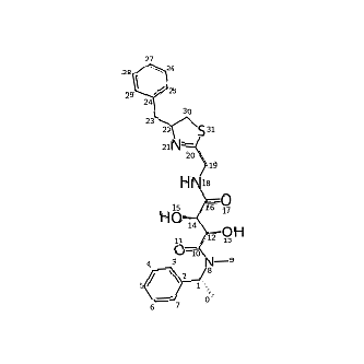 C[C@H](c1ccccc1)N(C)C(=O)[C@H](O)[C@@H](O)C(=O)NCC1=NC(Cc2ccccc2)CS1